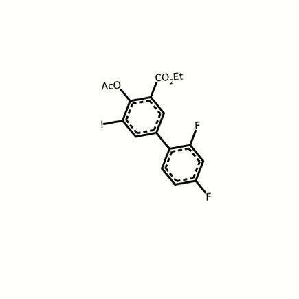 CCOC(=O)c1cc(-c2ccc(F)cc2F)cc(I)c1OC(C)=O